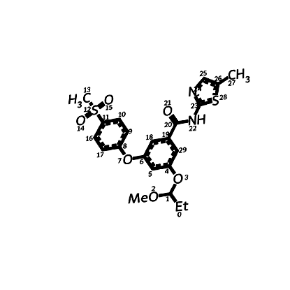 CCC(OC)Oc1cc(Oc2ccc(S(C)(=O)=O)cc2)cc(C(=O)Nc2ncc(C)s2)c1